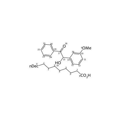 CCCCCCCCCCCCCCCCCC(=O)O.COc1cccc(C(O)C(=O)c2ccccc2)c1